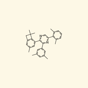 Cc1cc(C)cc(-c2nc(-c3c(C)cccc3C)cnc2-c2cc(C)cc3c2C(C)(C)C3)c1